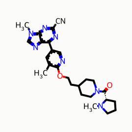 Cc1cc(-c2nc(C#N)nc3c2ncn3C)cnc1OCCC1CCN(C(=O)[C@@H]2CCCN2C)CC1